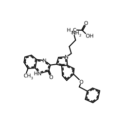 CC(=O)O.Cc1cccc2nc(-c3cn(CCCN)c4cc(OCc5ccccc5)ccc34)c(=O)[nH]c12